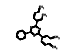 C=C/C=C\C(=C/C)c1nc(C(/C=C\C=C)=C/C=C)nc(-c2ccccc2)n1